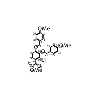 COc1ccc(COc2ccc(C(=O)N(C)OC)c(Cl)c2OCc2ccc(OC)cc2)cc1